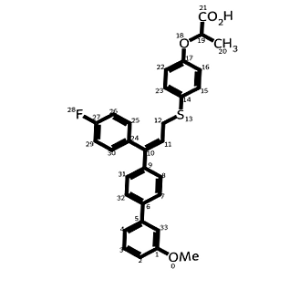 COc1cccc(-c2ccc(C(=CCSc3ccc(OC(C)C(=O)O)cc3)c3ccc(F)cc3)cc2)c1